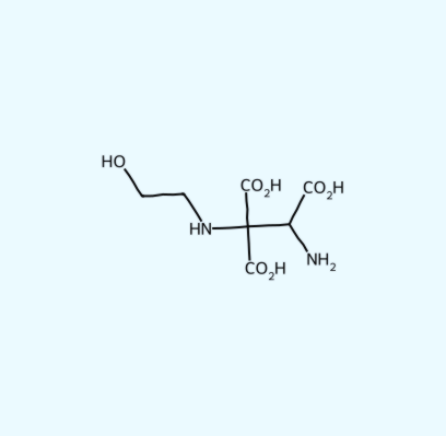 NC(C(=O)O)C(NCCO)(C(=O)O)C(=O)O